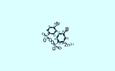 O=S(=O)([O-])c1ccc(Br)cc1.O=S(=O)([O-])c1ccc(Br)cc1.[Zn+2]